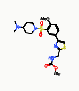 COc1ccc(-c2csc(CNC(=O)OC(C)(C)C)n2)cc1S(=O)(=O)N1CCC(N(C)C)CC1